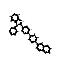 c1ccc(-n2c(-c3ccc(-c4ccc(-c5ccc6ccccc6c5)cc4)cc3)nc3ccccc32)cc1